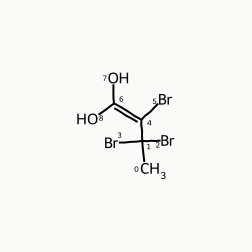 CC(Br)(Br)C(Br)=C(O)O